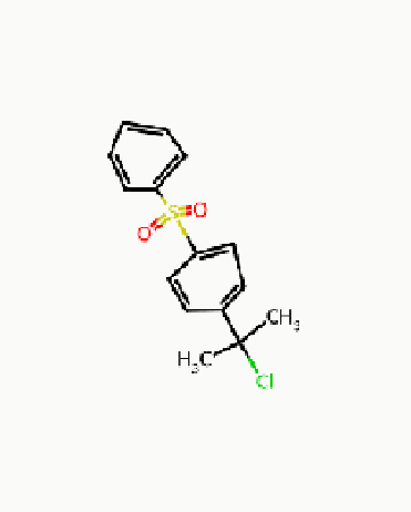 CC(C)(Cl)c1ccc(S(=O)(=O)c2ccccc2)cc1